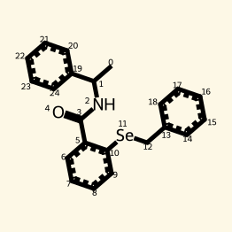 CC(NC(=O)c1ccccc1[Se]Cc1ccccc1)c1ccccc1